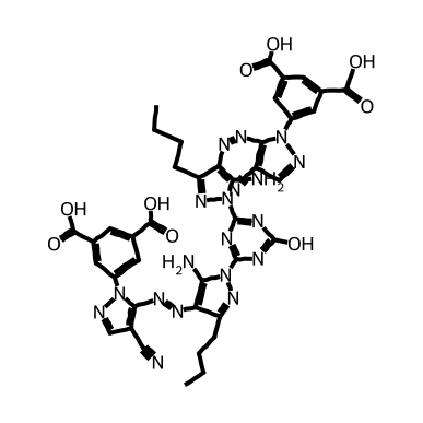 CCCCc1nn(-c2nc(O)nc(-n3nc(CCCC)c(/N=N\c4c(C#N)cnn4-c4cc(C(=O)O)cc(C(=O)O)c4)c3N)n2)c(N)c1N=Nc1c(C#N)cnn1-c1cc(C(=O)O)cc(C(=O)O)c1